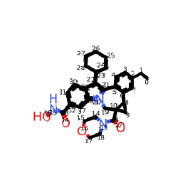 CCc1ccc2c(c1)C1CC1(C(=O)N1CCOCC1)Cn1c-2c(C2CCCCC2)c2ccc(C(=O)NO)cc21